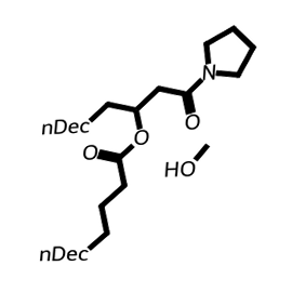 CCCCCCCCCCCCCC(=O)OC(CCCCCCCCCCC)CC(=O)N1CCCC1.CO